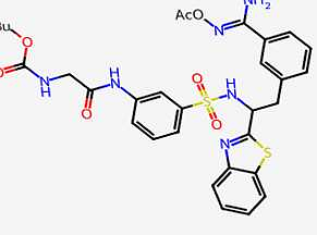 CC(=O)ON=C(N)c1cccc(CC(NS(=O)(=O)c2cccc(NC(=O)CNC(=O)OC(C)(C)C)c2)c2nc3ccccc3s2)c1